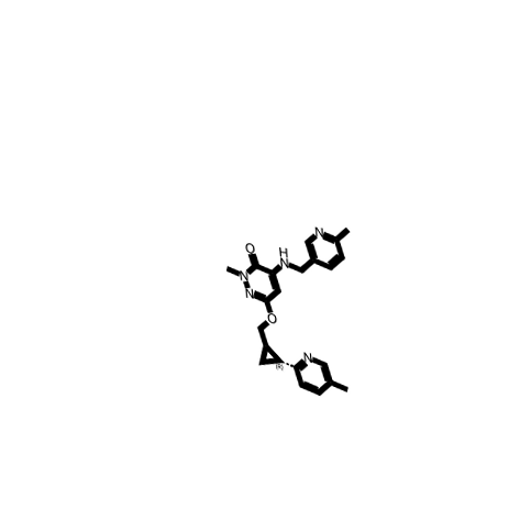 Cc1ccc([C@@H]2CC2COc2cc(NCc3ccc(C)nc3)c(=O)n(C)n2)nc1